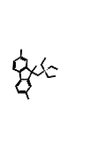 CC[N+](CC)(CC)CC1(C)c2cc(C)ccc2-c2ccc(C)cc21